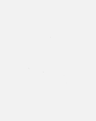 COc1cc(F)c2c(C(=O)O)c(F)n(C(N)=O)c2c1